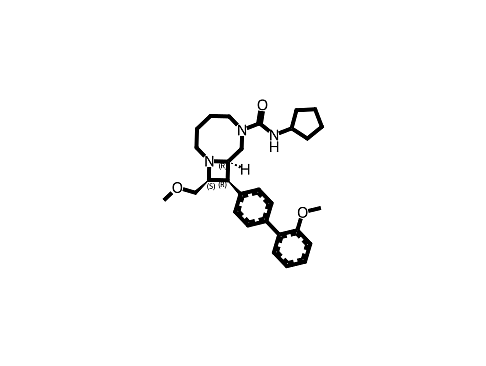 COC[C@@H]1[C@H](c2ccc(-c3ccccc3OC)cc2)[C@@H]2CN(C(=O)NC3CCCC3)CCCCN12